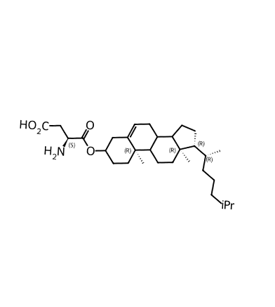 CC(C)CCC[C@@H](C)[C@H]1CCC2C3CC=C4CC(OC(=O)[C@@H](N)CC(=O)O)CC[C@]4(C)C3CC[C@@]21C